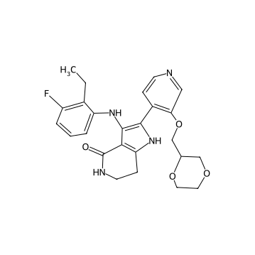 CCc1c(F)cccc1Nc1c(-c2ccncc2OCC2COCCO2)[nH]c2c1C(=O)NCC2